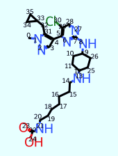 Cn1ncc(-c2nc(NC3CCC(NCCCCCCCNC(=O)O)CC3)ncc2Cl)c1CC1CC1